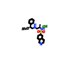 CO[C@@H](CNC[C@@H](C)NS(=O)(=O)c1ccc2cnccc2c1)c1ccccc1.Cl